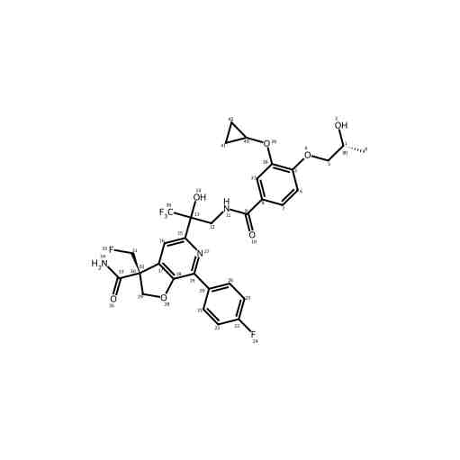 C[C@@H](O)COc1ccc(C(=O)NCC(O)(c2cc3c(c(-c4ccc(F)cc4)n2)OC[C@]3(CF)C(N)=O)C(F)(F)F)cc1OC1CC1